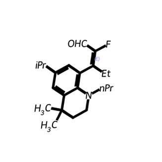 CCCN1CCC(C)(C)c2cc(C(C)C)cc(/C(CC)=C(/F)C=O)c21